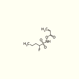 C=CC(=O)ONS(=O)(=O)C(F)CCC